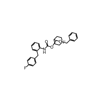 O=C(Nc1ccccc1Cc1ccc(F)cc1)OC1C[N+]2(Cc3ccccc3)CCC1CC2